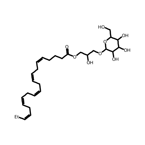 CC/C=C\C/C=C\C/C=C\C/C=C\C/C=C\CCCC(=O)OCC(O)COC1OC(CO)C(O)C(O)C1O